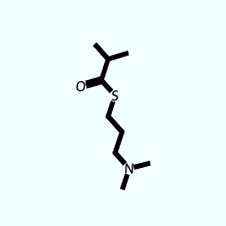 CC(C)C(=O)SCCCN(C)C